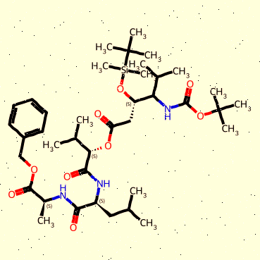 CC(C)C[C@H](NC(=O)[C@@H](OC(=O)C[C@H](O[Si](C)(C)C(C)(C)C)C(NC(=O)OC(C)(C)C)C(C)C)C(C)C)C(=O)N[C@@H](C)C(=O)OCc1ccccc1